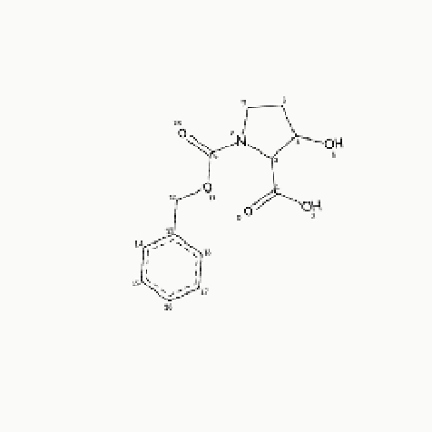 O=C(O)C1C(O)CCN1C(=O)OCc1ccccc1